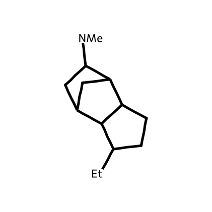 CCC1CCC2C3CC(CC3NC)C12